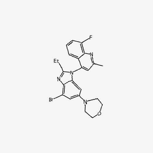 CCc1nc2c(Br)cc(N3CCOCC3)cc2n1-c1cc(C)nc2c(F)cccc12